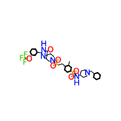 Cc1cc(S(=O)(=O)NC2CCN(Cc3ccccc3)CC2)ccc1CCS(=O)(=O)N1CCC2(CC1)N=C(c1cccc(OC(F)(F)F)c1)NC2=O